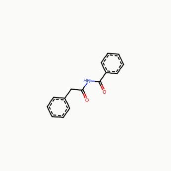 O=C(Cc1ccccc1)NC(=O)c1ccccc1